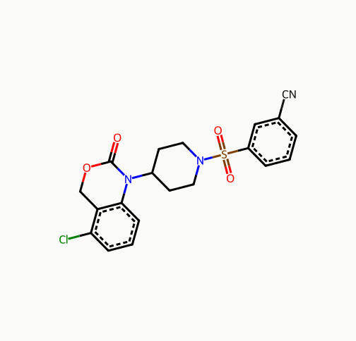 N#Cc1cccc(S(=O)(=O)N2CCC(N3C(=O)OCc4c(Cl)cccc43)CC2)c1